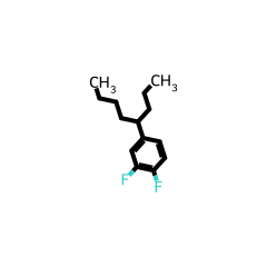 CCCCC(CCC)c1ccc(F)c(F)c1